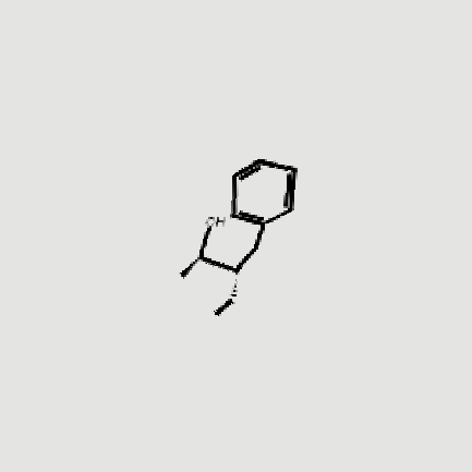 CC[C@@H](Cc1ccccc1)[C@@H](C)O